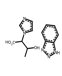 CC(O)C(C(=O)O)n1ccnc1.c1ccc2[nH]nnc2c1